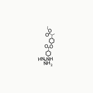 CCOC(=O)C(C)c1ccc(OC(=O)c2ccc(NC(=N)N)cc2)cc1